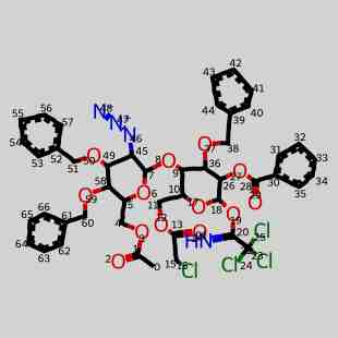 CC(=O)OCC1OC(OC2C(COC(=O)CCl)OC(OC(=N)C(Cl)(Cl)Cl)C(OC(=O)c3ccccc3)C2OCc2ccccc2)C(N=[N+]=[N-])C(OCc2ccccc2)C1OCc1ccccc1